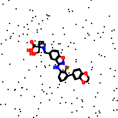 CC(CO)(N=Cc1ccc2onc(Nc3cccc(-c4ccc5c(c4)OCCO5)c3Br)c2c1)C(=O)O